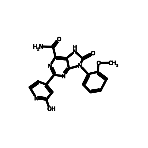 COc1ccccc1-n1c(=O)[nH]c2c(C(N)=O)nc(-c3ccnc(O)c3)nc21